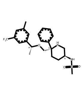 Cc1cc([C@@H](C)OC[C@@]2(c3ccccc3)CC[C@H](NS(C)(=O)=O)CN2)cc(C(F)(F)F)c1